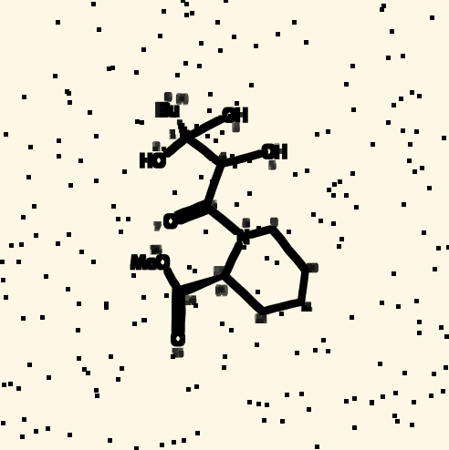 CC[C@@H](C)C(O)(O)C(O)C(=O)N1CCCC[C@H]1C(=O)OC